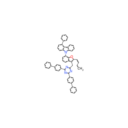 C=C/C=C\c1oc2c(-n3c4ccccc4c4c(-c5ccccc5)cccc43)cccc2c1Cc1nc(-c2ccc(-c3ccccc3)cc2)nc(-c2ccc(-c3ccccc3)cc2)n1